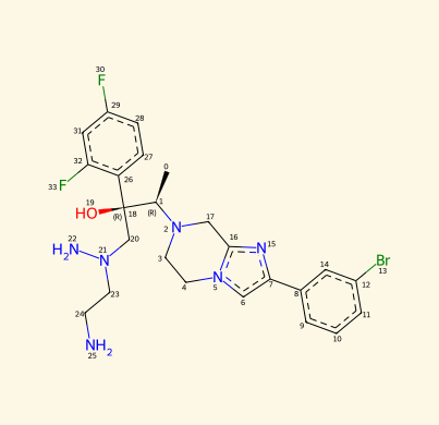 C[C@@H](N1CCn2cc(-c3cccc(Br)c3)nc2C1)[C@](O)(CN(N)CCN)c1ccc(F)cc1F